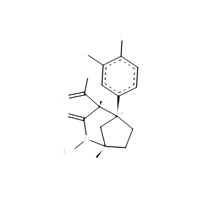 CN1C(=O)[C@](O)(C(=O)O)[C@]2(c3ccc(Cl)c(Cl)c3)CC[C@H]1C2